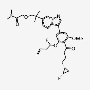 C=CCC(F)Oc1cc(-c2cnn3cc(C(C)(C)COCC(=O)N(C)C)ccc23)cc(OC)c1C(=O)CCC[C@@H]1C[C@@H]1F